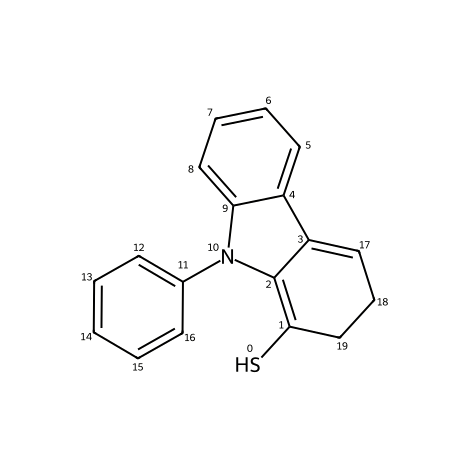 SC1=c2c(c3ccccc3n2-c2ccccc2)=CCC1